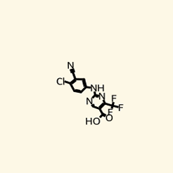 N#Cc1cc(Nc2ncc(C(=O)O)c(C(F)(F)F)n2)ccc1Cl